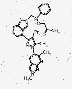 Cc1nc2nn(C)cc2cc1-n1nc(-c2cccc3nn(C[C@H](OCC(N)=O)c4ccccc4)cc23)c(C(C)C)c1C